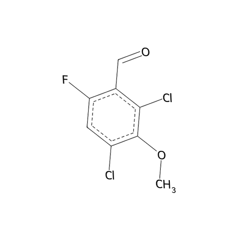 COc1c(Cl)cc(F)c(C=O)c1Cl